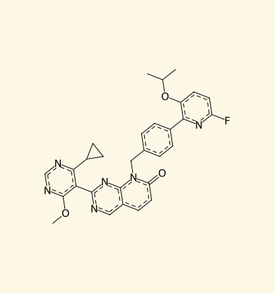 COc1ncnc(C2CC2)c1-c1ncc2ccc(=O)n(Cc3ccc(-c4nc(F)ccc4OC(C)C)cc3)c2n1